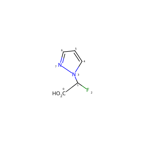 O=C(O)C(F)n1cccn1